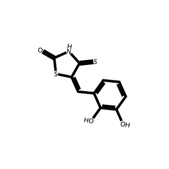 O=C1NC(=S)/C(=C\c2cccc(O)c2O)S1